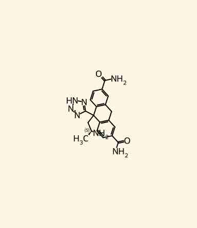 C[C@H](N)CC1(c2nn[nH]n2)c2ccc(C(N)=O)cc2Cc2cc(C(N)=O)ccc21